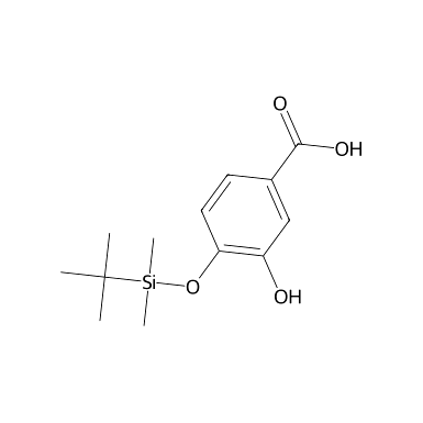 CC(C)(C)[Si](C)(C)Oc1ccc(C(=O)O)cc1O